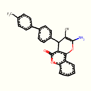 N#CC1=C(N)Oc2c(c(=O)oc3ccccc23)C1c1ccc(-c2ccc(C(F)(F)F)cc2)cc1